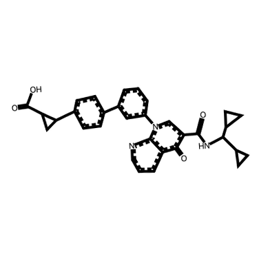 O=C(NC(C1CC1)C1CC1)c1cn(-c2cccc(-c3ccc(C4CC4C(=O)O)cc3)c2)c2ncccc2c1=O